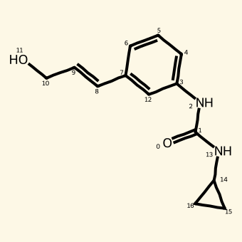 O=C(Nc1cccc(/C=C/CO)c1)NC1CC1